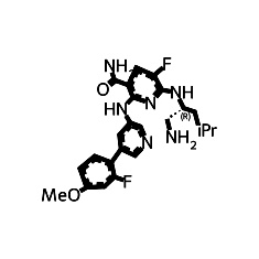 COc1ccc(-c2cncc(Nc3nc(N[C@@H](CN)CC(C)C)c(F)cc3C(N)=O)c2)c(F)c1